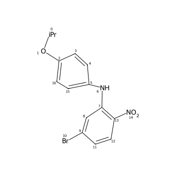 CC(C)Oc1ccc(Nc2cc(Br)ccc2[N+](=O)[O-])cc1